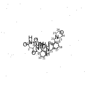 O=C1CCC(O)(N2C(=O)c3cccc(NCc4cccc(CN5CCOCC5)c4F)c3C2(O)O)C(=O)N1